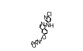 Clc1ccc(Nc2nccc3cc(OCCN4CC5(CCO5)C4)ccc23)cn1